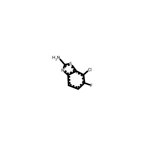 Nc1nc2ccc(F)c(Cl)c2s1